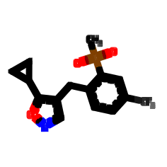 CS(=O)(=O)c1cc(C(F)(F)F)ccc1[CH]c1cnoc1C1CC1